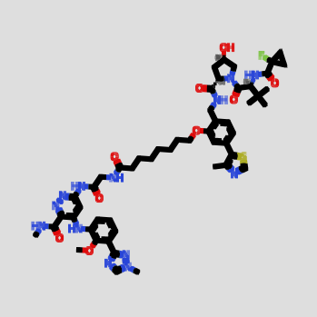 CNC(=O)c1nnc(NC(=O)CNC(=O)CCCCCCCOc2cc(-c3scnc3C)ccc2CNC(=O)[C@@H]2C[C@@H](O)CN2C(=O)[C@@H](NC(=O)C2(F)CC2)C(C)(C)C)cc1Nc1cccc(-c2ncn(C)n2)c1OC